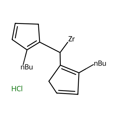 CCCCC1=C([CH]([Zr])C2=C(CCCC)C=CC2)CC=C1.Cl